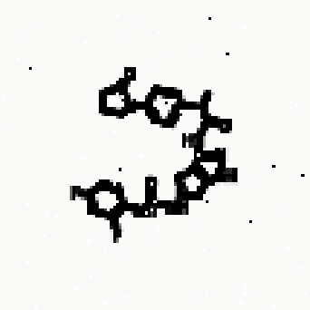 CC(C(=O)Nc1n[nH]c2c1CN(NC(=O)Nc1ccc(F)cc1F)C2)c1ccc(N2CCCC2=O)cc1